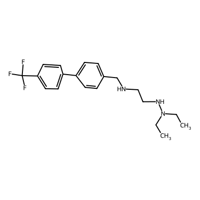 CCN(CC)NCCNCc1ccc(-c2ccc(C(F)(F)F)cc2)cc1